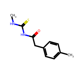 CNC(=S)NC(=O)Cc1ccc(C)cc1